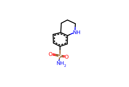 NS(=O)(=O)c1ccc2c(c1)NCCC2